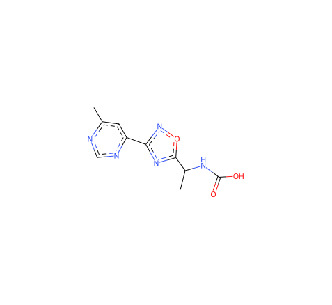 Cc1cc(-c2noc(C(C)NC(=O)O)n2)ncn1